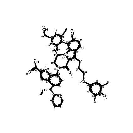 CO[C@@H](c1ccccn1)c1ccc(N2C[C@@H](C)n3c(c(CCCOc4cc(C)c(Cl)c(C)c4)c4ccc(Cl)c(-c5c(C)nc(CO)nc5C)c43)C2=O)c2[nH]c(C(=O)O)cc12